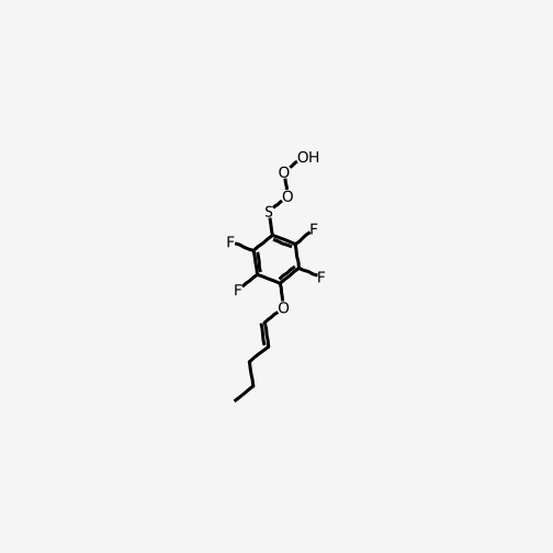 CCC/C=C/Oc1c(F)c(F)c(SOOO)c(F)c1F